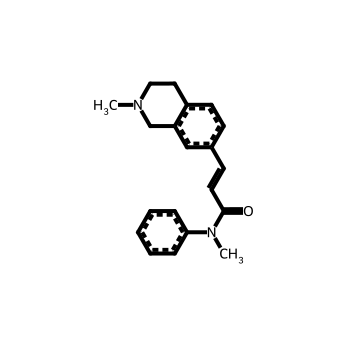 CN1CCc2ccc(C=CC(=O)N(C)c3ccccc3)cc2C1